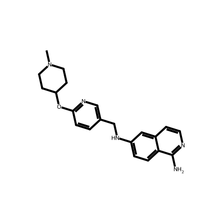 CN1CCC(Oc2ccc(CNc3ccc4c(N)nccc4c3)cn2)CC1